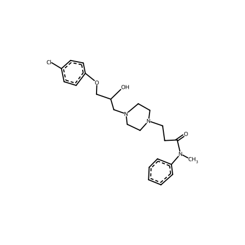 CN(C(=O)CCN1CCN(CC(O)COc2ccc(Cl)cc2)CC1)c1ccccc1